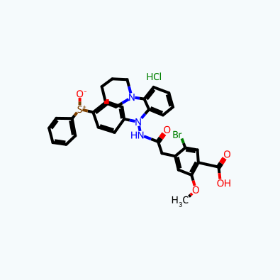 COc1cc(CC(=O)NN(c2ccc([S+]([O-])c3ccccc3)cc2)c2ccccc2N2CCCCC2)c(Br)cc1C(=O)O.Cl